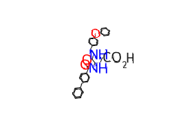 O=C(O)CC[C@H](NC(=O)c1ccc(-c2ccccc2)cc1)C(=O)NCc1ccc(Oc2ccccc2)cc1